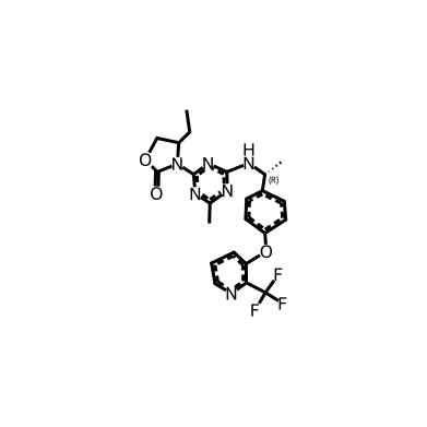 CCC1COC(=O)N1c1nc(C)nc(N[C@H](C)c2ccc(Oc3cccnc3C(F)(F)F)cc2)n1